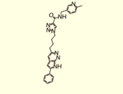 Cc1ccc(CNC(=O)c2cn(CCCCc3cc4cc(-c5ccccc5)[nH]c4nn3)nn2)cn1